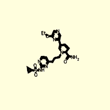 CCOc1cncc(C2=CN(CCCc3ccnc(NS(=O)(=O)C4CC4)n3)C(C(N)=O)C=C2)n1